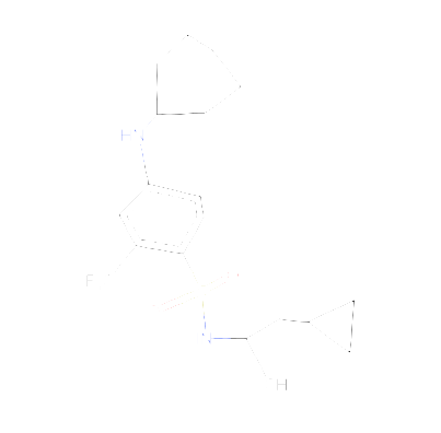 CC(CC1CC1)NS(=O)(=O)c1ccc(NC2CCCCC2)cc1C(F)(F)F